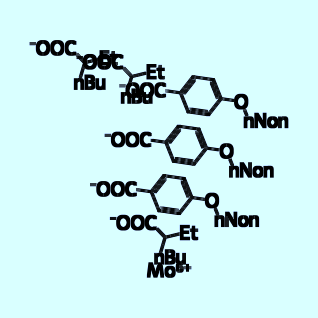 CCCCC(CC)C(=O)[O-].CCCCC(CC)C(=O)[O-].CCCCC(CC)C(=O)[O-].CCCCCCCCCOc1ccc(C(=O)[O-])cc1.CCCCCCCCCOc1ccc(C(=O)[O-])cc1.CCCCCCCCCOc1ccc(C(=O)[O-])cc1.[Mo+6]